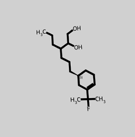 CCCC(CCC[C@H]1CCC=C(C(C)(C)F)C1)C(O)CO